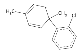 CC1=C[CH]C(C)(c2ccccc2Cl)C=C1